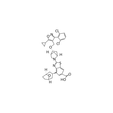 O=C(O)c1cc([C@H]2C[C@H]3CC[C@@H](C2)O3)c2nc(N3C[C@@H]4C[C@H]3C[C@H]4OCc3c(-c4c(Cl)cccc4Cl)noc3C3CC3)sc2c1